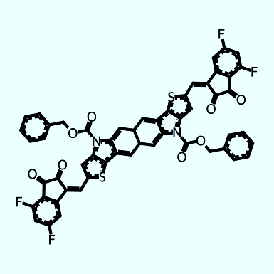 O=C1C(=O)c2c(F)cc(F)cc2/C1=C/c1cc2c(s1)c1c(n2C(=O)OCc2ccccc2)=CC2C=c3c(n(C(=O)OCc4ccccc4)c4cc(/C=C5\C(=O)C(=O)c6c(F)cc(F)cc65)sc34)=CC2C=1